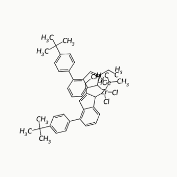 CCC1=Cc2c(-c3ccc(C(C)(C)C)cc3)cccc2[CH]1[Zr]([Cl])([Cl])([CH]1C(CC)=Cc2c(-c3ccc(C(C)(C)C)cc3)cccc21)[GeH]([CH3])[CH3]